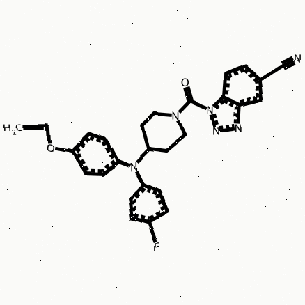 C=COc1ccc(N(c2ccc(F)cc2)C2CCN(C(=O)n3nnc4cc(C#N)ccc43)CC2)cc1